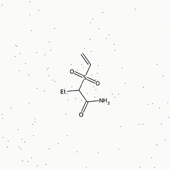 C=CS(=O)(=O)C(CC)C(N)=O